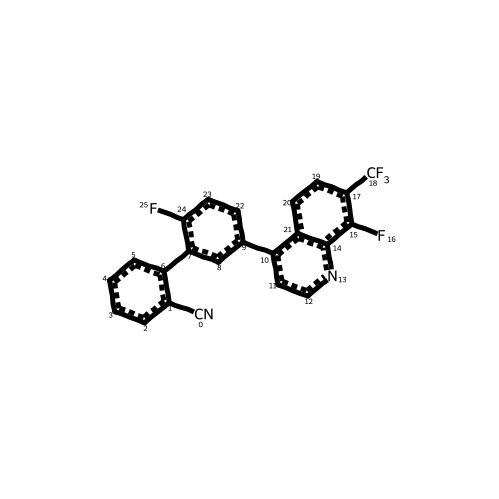 N#Cc1ccccc1-c1cc(-c2ccnc3c(F)c(C(F)(F)F)ccc23)ccc1F